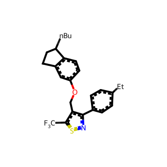 CCCCC1CCc2cc(OCc3c(-c4ccc(CC)cc4)nsc3C(F)(F)F)ccc21